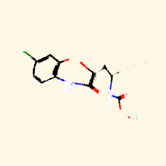 CC(C)(C)OC(=O)N[C@@H](C[C@@H]1Oc2cc(Cl)ccc2NC1=O)C(=O)O